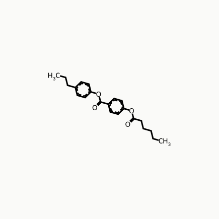 CCCCCC(=O)Oc1ccc(C(=O)Oc2ccc(CCC)cc2)cc1